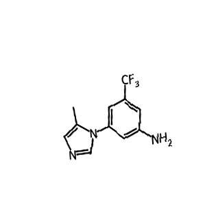 Cc1cncn1-c1cc(N)cc(C(F)(F)F)c1